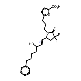 O=C(O)c1ccc(CCCN2C(=O)C(F)(F)CC2/C=C/C(O)CCCCc2ccccc2)s1